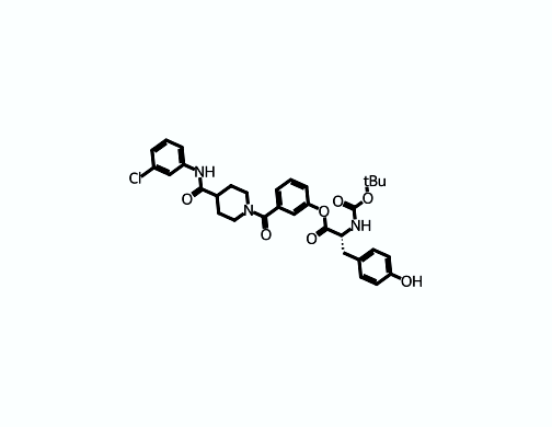 CC(C)(C)OC(=O)N[C@H](Cc1ccc(O)cc1)C(=O)Oc1cccc(C(=O)N2CCC(C(=O)Nc3cccc(Cl)c3)CC2)c1